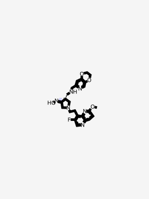 COc1ccc2ncc(F)c(CCN3C/C(=N\O)[C@H](CNCc4cc5c(cn4)OCCO5)C3)c2n1